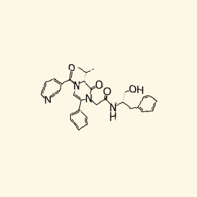 CC(C)[C@@H]1C(=O)N(CC(=O)N[C@H](CO)Cc2ccccc2)C(c2ccccc2)=CN1C(=O)c1cccnc1